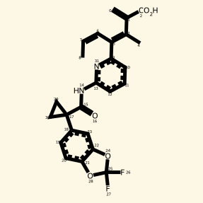 C=C(C(=O)O)/C(C)=C(\C=C/C)c1cccc(NC(=O)C2(c3ccc4c(c3)OC(F)(F)O4)CC2)n1